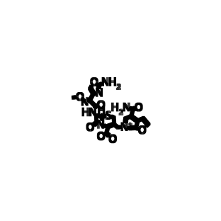 CON=C(C(=O)NC1C(=O)N2C(C(=O)[O-])=C(C[n+]3cc(C(N)=O)c4ccoc4c3)CS[C@@H]12)c1coc(N)n1